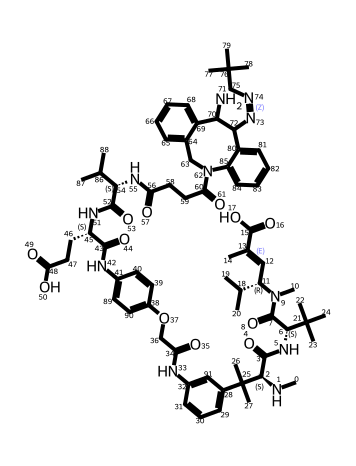 CN[C@H](C(=O)N[C@H](C(=O)N(C)[C@@H](/C=C(\C)C(=O)O)C(C)C)C(C)(C)C)C(C)(C)c1cccc(NC(=O)COc2ccc(NC(=O)[C@H](CCC(=O)O)NC(=O)[C@@H](NC(=O)CCC(=O)N3Cc4ccccc4C(N)C(/N=N\CC(C)(C)C)c4ccccc43)C(C)C)cc2)c1